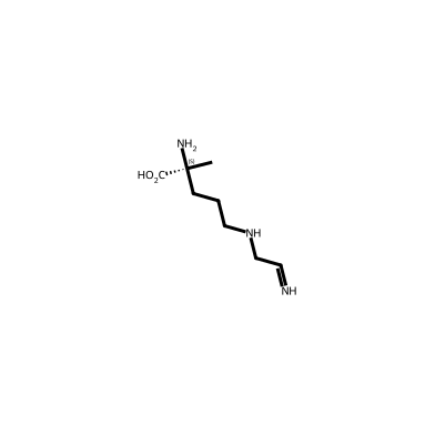 C[C@](N)(CCCNCC=N)C(=O)O